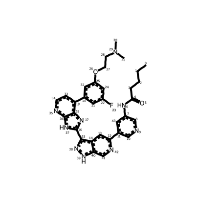 CCCCC(=O)Nc1cncc(-c2cc3c(-c4nc5c(-c6cc(F)cc(OCCN(C)C)c6)ccnc5[nH]4)n[nH]c3cn2)c1